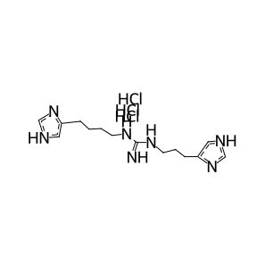 Cl.Cl.Cl.N=C(NCCCCc1c[nH]cn1)NCCCc1c[nH]cn1